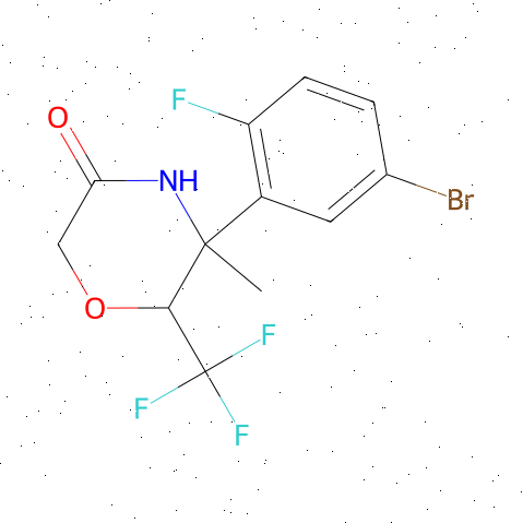 CC1(c2cc(Br)ccc2F)NC(=O)COC1C(F)(F)F